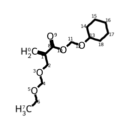 C=C(COCOCC)C(=O)OCOC1CCCCC1